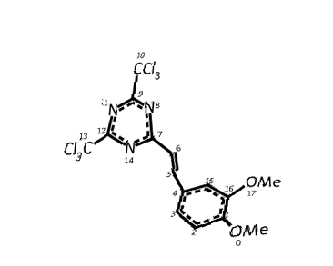 COc1ccc(C=Cc2nc(C(Cl)(Cl)Cl)nc(C(Cl)(Cl)Cl)n2)cc1OC